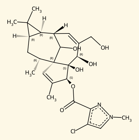 CC1=C[C@]23C(O)[C@@H](C=C(CO)[C@@H](O)[C@]2(O)[C@H]1OC(=O)c1nn(C)cc1Cl)[C@H]1[C@@H](C[C@H]3C)C1(C)C